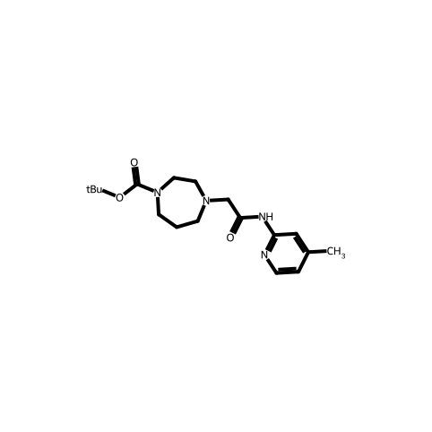 Cc1ccnc(NC(=O)CN2CCCN(C(=O)OC(C)(C)C)CC2)c1